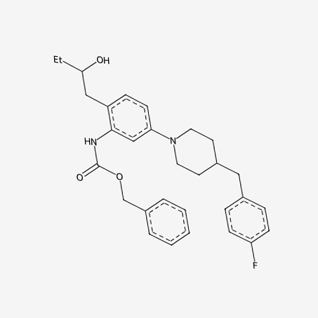 CCC(O)Cc1ccc(N2CCC(Cc3ccc(F)cc3)CC2)cc1NC(=O)OCc1ccccc1